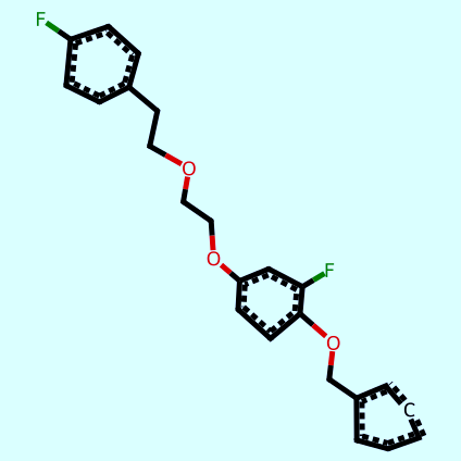 Fc1ccc(CCOCCOc2ccc(OCc3ccccc3)c(F)c2)cc1